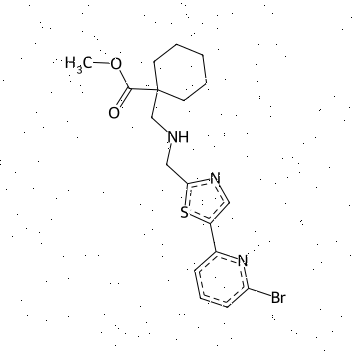 COC(=O)C1(CNCc2ncc(-c3cccc(Br)n3)s2)CCCCC1